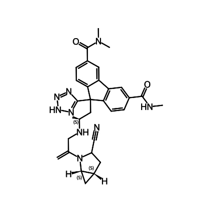 C=C(CN[C@@H](C)CC1(c2nn[nH]n2)c2ccc(C(=O)NC)cc2-c2cc(C(=O)N(C)C)ccc21)N1C(C#N)C[C@@H]2C[C@@H]21